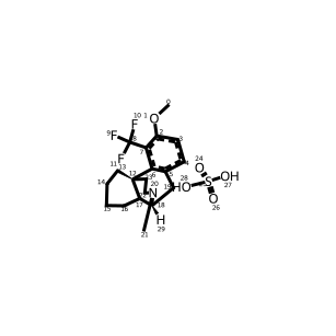 COc1ccc2c(c1C(F)(F)F)[C@@]13CCCCC1[C@@H](C2)N(C)CC3.O=S(=O)(O)O